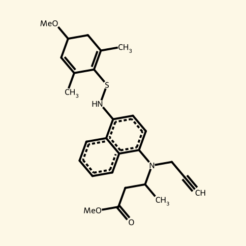 C#CCN(c1ccc(NSC2=C(C)CC(OC)C=C2C)c2ccccc12)C(C)CC(=O)OC